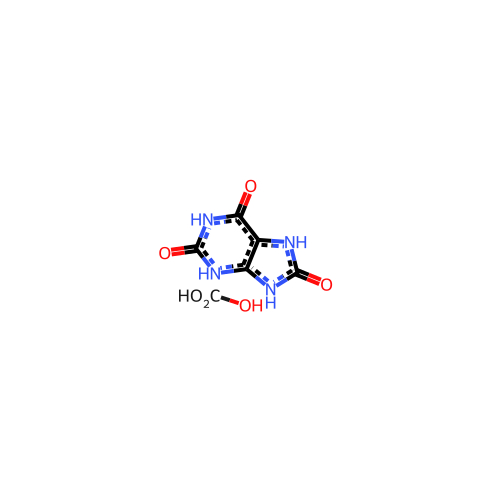 O=C(O)O.O=c1[nH]c(=O)c2[nH]c(=O)[nH]c2[nH]1